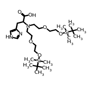 CC(C)(C)[Si](C)(C)OCCOCCN(CCOCCO[Si](C)(C)C(C)(C)C)C(Cc1c[nH]cn1)C(=O)O